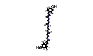 CC1=C(/C=C/C(C)=C/C=C/C(C)=C/C=C/C=C(C)/C=C/C=C(\C)C2C=C3C(C)(C)CC(O)CC3(C)O2)C(C)(C)CC(O)C1